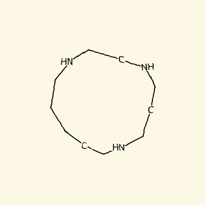 C1CCNCCCNCCNCC1